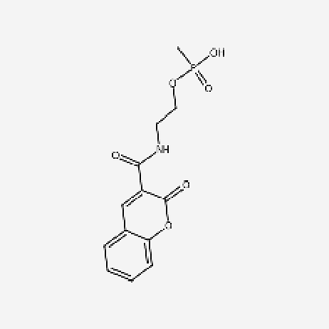 CP(=O)(O)OCCNC(=O)c1cc2ccccc2oc1=O